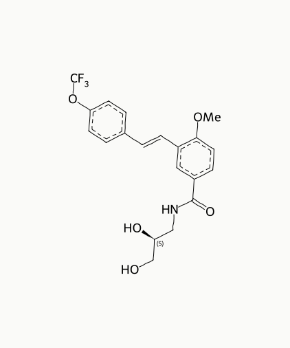 COc1ccc(C(=O)NC[C@H](O)CO)cc1C=Cc1ccc(OC(F)(F)F)cc1